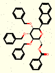 O=C(OC[C@H]1O[C@H](c2ccc3ccccc3c2)[C@@H](OCc2ccccc2)[C@@H](OCc2ccccc2)[C@@H]1OCc1ccccc1)c1ccccc1